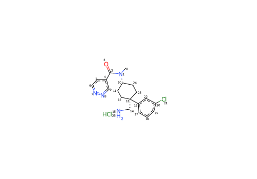 CN(C(=O)c1ccnnc1)[C@H]1CC[C@](CN)(c2cccc(Cl)c2)CC1.Cl